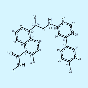 CNC(=O)c1c(F)cnc2c([C@H](C)CNc3cc(-c4ccc(C)nc4)ncn3)cccc12